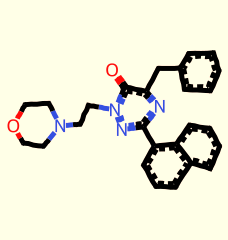 O=c1c(Cc2ccccc2)nc(-c2cccc3ccccc23)nn1CCN1CCOCC1